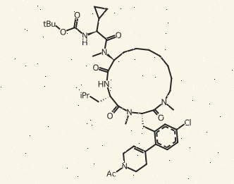 CC(=O)N1CC=C(c2ccc(Cl)cc2C[C@H]2C(=O)N(C)CCCCCCC[C@H](N(C)C(=O)[C@@H](NC(=O)OC(C)(C)C)C3CC3)C(=O)N[C@@H](CC(C)C)C(=O)N2C)CC1